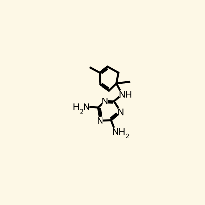 CC1=CCC(C)(Nc2nc(N)nc(N)n2)C=C1